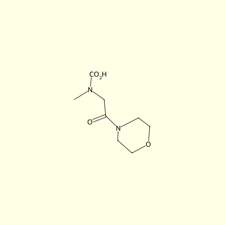 CN(CC(=O)N1CCOCC1)C(=O)O